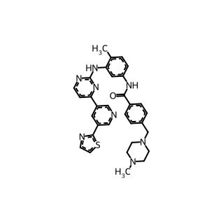 Cc1ccc(NC(=O)c2ccc(CN3CCN(C)CC3)cc2)cc1Nc1nccc(-c2cncc(-c3nccs3)c2)n1